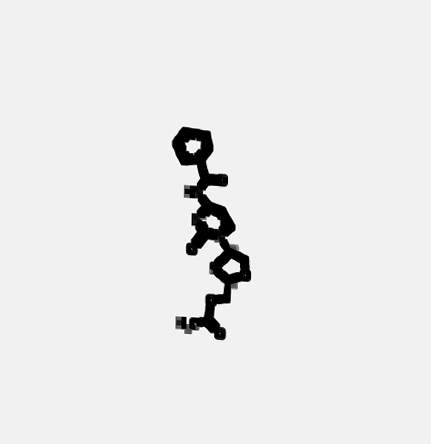 CC(=O)OC[C@@H]1OC[C@H](n2ccc(NC(=O)c3ccccc3)nc2=O)S1